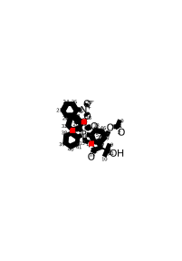 CC(=O)OCC[C@@H]1[C@@H](C(C)(C)O)C(=O)N1CP(C(=O)OCc1ccccc1[N+](=O)[O-])(c1ccccc1)(c1ccccc1)c1ccccc1